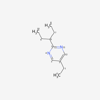 CCc1cnc(C(CC)CC)nc1